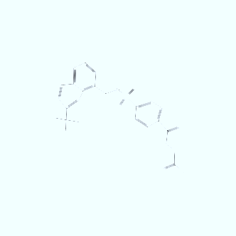 CC(=O)SCC(=O)c1ccc(S(=O)(=O)NCc2cccc3ccc(C(F)(F)F)cc23)cc1